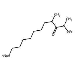 CCCCCCCCCCCCCCCCC(C)C(=O)N(C)CCC